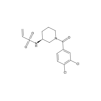 C=CS(=O)(=O)N[C@H]1CCCN(C(=O)c2ccc(Cl)c(Cl)c2)C1